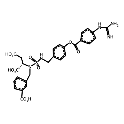 N=C(N)Nc1ccc(C(=O)Oc2ccc(CNS(=O)(=O)N(Cc3cccc(C(=O)O)c3)[C@@H](CC(=O)O)C(=O)O)cc2)cc1